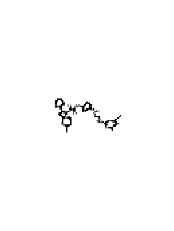 Cc1cc(C)nc(NCCNc2ccc(NC(=O)C(=O)c3c(-c4ccccc4)cc4cc(C)ccn34)cc2)c1